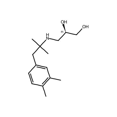 Cc1ccc(CC(C)(C)NC[C@@H](O)CO)cc1C